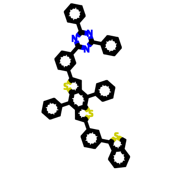 c1ccc(-c2nc(-c3ccccc3)nc(-c3cccc(-c4cc5c(-c6ccccc6)c6sc(-c7cccc(-c8scc9ccccc89)c7)cc6c(-c6ccccc6)c5s4)c3)n2)cc1